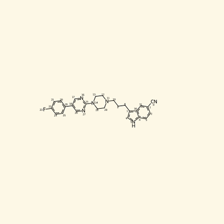 N#Cc1ccc2[nH]cc(CCCN3CCN(c4ncc(-c5ccc(F)cc5)cn4)CC3)c2c1